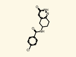 O=C(NC1CCc2n[nH]c(=O)cc2C1)c1ccc(Cl)cc1